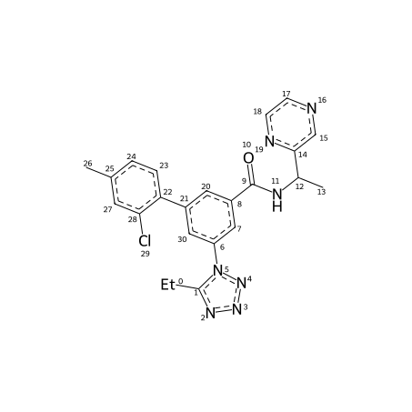 CCc1nnnn1-c1cc(C(=O)NC(C)c2cnccn2)cc(-c2ccc(C)cc2Cl)c1